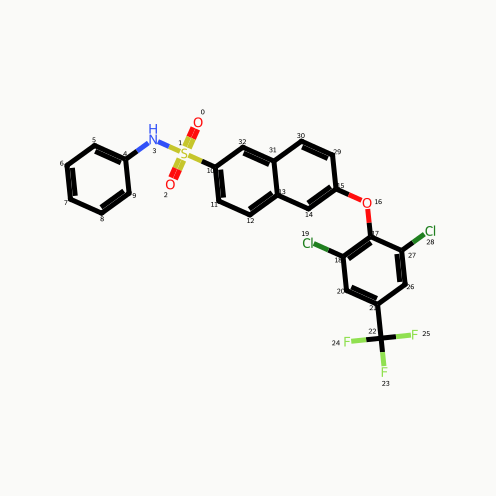 O=S(=O)(Nc1ccccc1)c1ccc2cc(Oc3c(Cl)cc(C(F)(F)F)cc3Cl)ccc2c1